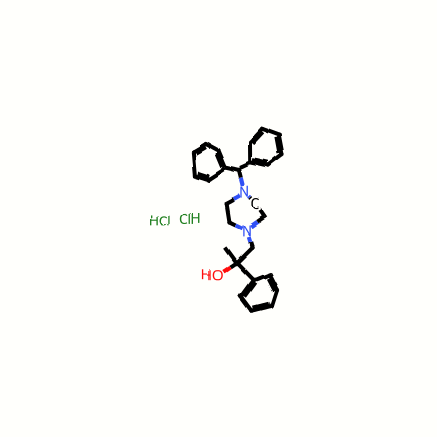 CC(O)(CN1CCN(C(c2ccccc2)c2ccccc2)CC1)c1ccccc1.Cl.Cl